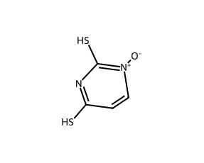 [O-][n+]1ccc(S)nc1S